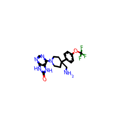 NCC1(c2ccc(OC(F)(F)F)cc2)CCN(c2ncnc3[nH]c(=O)[nH]c23)CC1